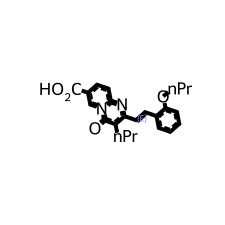 CCCOc1ccccc1/C=C/c1nc2ccc(C(=O)O)cn2c(=O)c1CCC